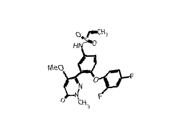 C=CS(=O)(=O)Nc1ccc(Oc2ccc(F)cc2F)c(-c2nn(C)c(=O)cc2OC)c1